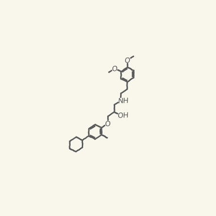 COc1ccc(CCNCC(O)COc2ccc(C3CCCCC3)cc2C)cc1OC